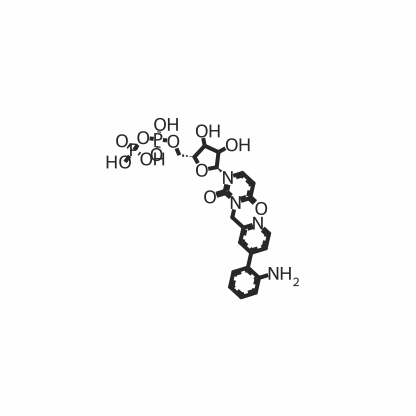 Nc1ccccc1-c1ccnc(Cn2c(=O)ccn([C@@H]3O[C@H](COP(=O)(O)OP(=O)(O)O)C(O)C3O)c2=O)c1